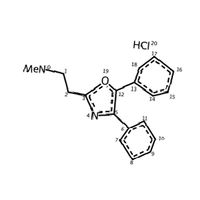 CNCCc1nc(-c2ccccc2)c(-c2ccccc2)o1.Cl